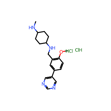 CNC1CCC(NCc2cc(-c3cncnc3)ccc2OC)CC1.Cl.Cl